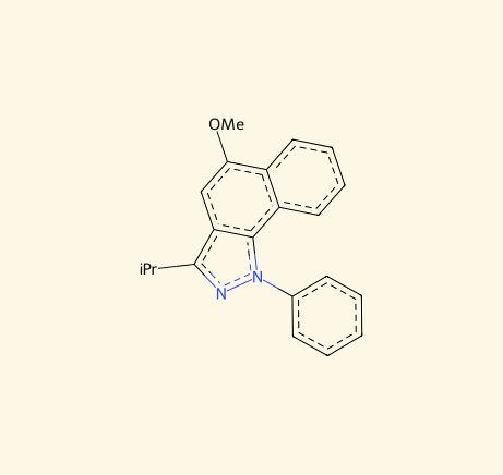 COc1cc2c(C(C)C)nn(-c3ccccc3)c2c2ccccc12